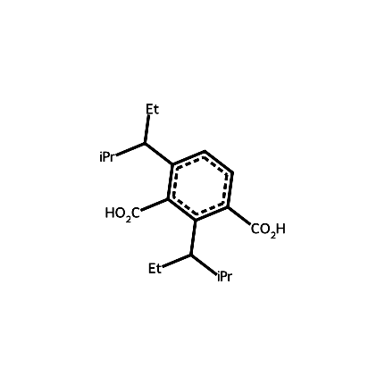 CCC(c1ccc(C(=O)O)c(C(CC)C(C)C)c1C(=O)O)C(C)C